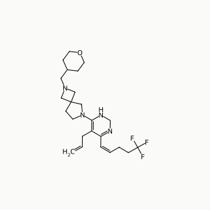 C=CCC1=C(N2CCC3(CN(CC4CCOCC4)C3)C2)NCN=C1/C=C\CCC(F)(F)F